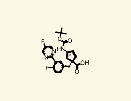 CC(C)(C)OC(=O)N[C@H]1C=C[C@](Cc2ccc(F)c(-c3ncc(F)cn3)c2)(C(=O)O)C1